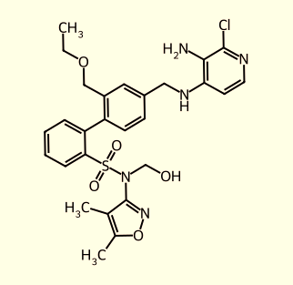 CCOCc1cc(CNc2ccnc(Cl)c2N)ccc1-c1ccccc1S(=O)(=O)N(CO)c1noc(C)c1C